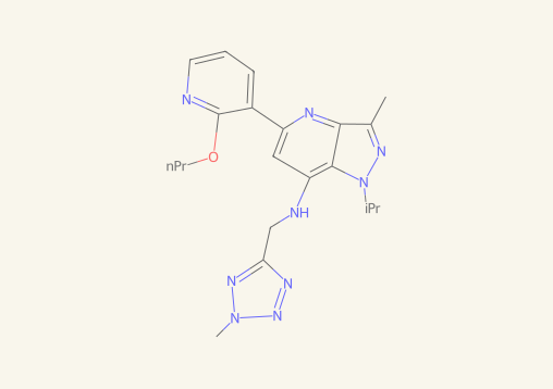 CCCOc1ncccc1-c1cc(NCc2nnn(C)n2)c2c(n1)c(C)nn2C(C)C